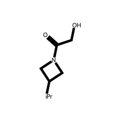 CC(C)C1CN(C(=O)CO)C1